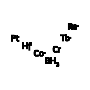 B.[Co].[Cr].[Hf].[Pt].[Re].[Tb]